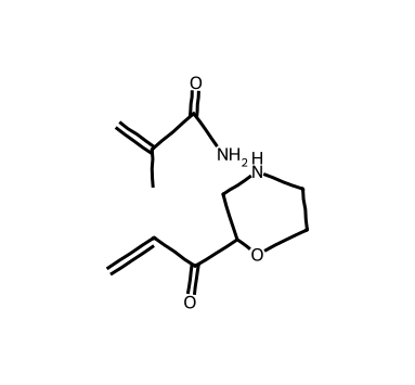 C=C(C)C(N)=O.C=CC(=O)C1CNCCO1